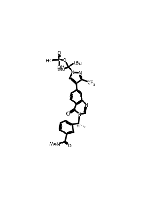 CNC(=O)c1cccc([C@@H](C)n2cnc3cc(-c4cn(C(OP(=O)(O)O)(C(C)(C)C)C(C)(C)C)nc4C(F)(F)F)ccc3c2=O)c1